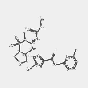 Cc1cccc(NC(=O)c2cc(Cl)c([C@]34COCC3S(=O)(=O)N(C)/C(=N\C(=O)OC(C)(C)C)N4)s2)n1